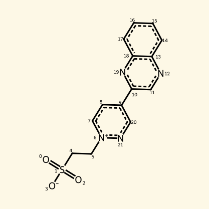 O=S(=O)([O-])CC[n+]1ccc(-c2cnc3ccccc3n2)cn1